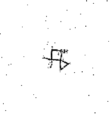 CC1(C)CNC12CC2